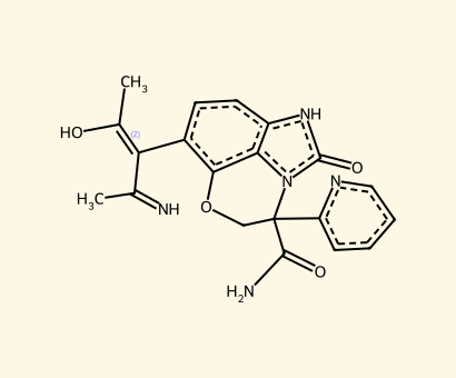 CC(=N)/C(=C(/C)O)c1ccc2[nH]c(=O)n3c2c1OCC3(C(N)=O)c1ccccn1